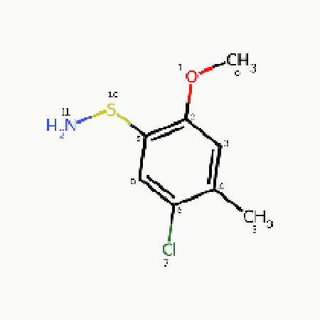 COc1cc(C)c(Cl)cc1SN